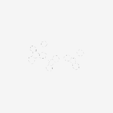 c1ccc(-c2cccc3c4ccccc4c4cc(-n5c6ccccc6c6cc(-c7ccc8c(c7)c7ccccc7n8-c7ccccc7)ccc65)ccc4c23)cc1